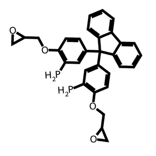 Pc1cc(C2(c3ccc(OCC4CO4)c(P)c3)c3ccccc3-c3ccccc32)ccc1OCC1CO1